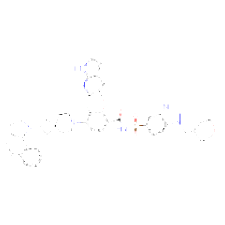 CC(C)c1ccccc1C1CCCN1C1CC2(CCN(c3ccc(C(=O)NS(=O)(=O)c4ccc(NCC5CCOCC5)c(N)c4)c(Oc4cnc5[nH]ccc5c4)c3F)CC2)C1